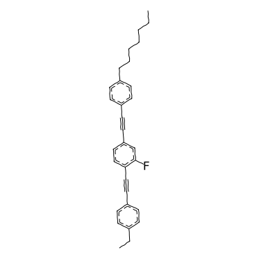 CCCCCCCc1ccc(C#Cc2ccc(C#Cc3ccc(CC)cc3)c(F)c2)cc1